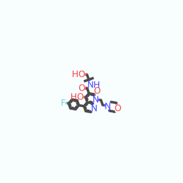 CC(C)(CO)NC(=O)c1c(O)c2c(-c3ccc(F)cc3)ccnc2n(CCN2CCOCC2)c1=O